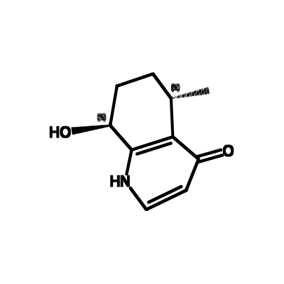 C[C@H]1CC[C@H](O)c2[nH]ccc(=O)c21